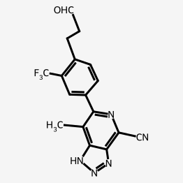 Cc1c(-c2ccc(CCC=O)c(C(F)(F)F)c2)nc(C#N)c2nn[nH]c12